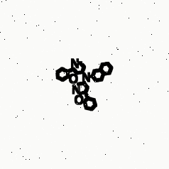 c1ccc2cc(N(c3cnc4oc5ccccc5c4c3)c3ccnc4c3oc3ccccc34)ccc2c1